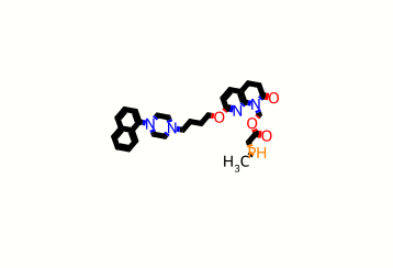 CPCC(=O)OCN1C(=O)CCc2ccc(OCCCCN3CCN(c4cccc5ccccc45)CC3)nc21